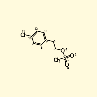 O=S(=O)(Cl)OCCc1ccc(Cl)cc1